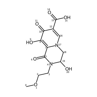 COCCN1C(=O)c2c(O)c(=O)c(C(=O)O)cn2CC1O